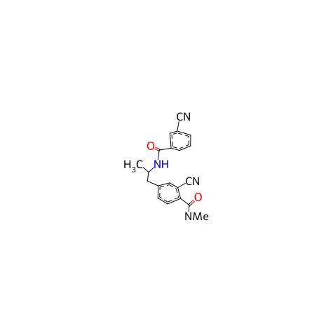 CNC(=O)c1ccc(CC(C)NC(=O)c2cccc(C#N)c2)cc1C#N